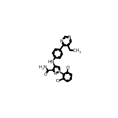 CCc1cncnc1-c1ccc(Nc2cn(-c3c(Cl)cccc3Cl)nc2C(N)=O)cc1